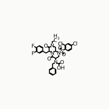 CCN1CC2N(C(=O)C(N(Cc3ccccc3)C(=O)O)CN2S(=O)(=O)c2ccc(Cl)cc2Cl)C(Cc2ccc(F)c(F)c2)C1=O